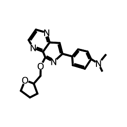 CN(C)c1ccc(-c2cc3nccnc3c(OCC3CCCO3)n2)cc1